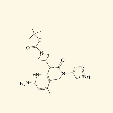 CC1=CC(N)NC2=C1CN(c1cn[nH]c1)C(=O)C2C1CN(C(=O)OC(C)(C)C)C1